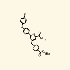 CC(C)(C)OC(=O)N1CCN(Cc2cc(C(N)=O)nc(-c3ccc(Oc4ccc(F)cc4)cc3)c2)CC1